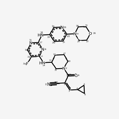 N#C/C(=C/C1CC1)C(=O)N1CCCC(Nc2nc(Nc3ccc(N4CCOCC4)nc3)ncc2F)C1